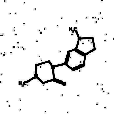 CN1CCN(c2ccc3c(c2)N(C)CC3)C(=O)C1